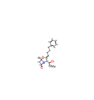 COC(=O)C1/C(=C/CCCc2ccccc2)O[C@@H]2CC(=O)N12